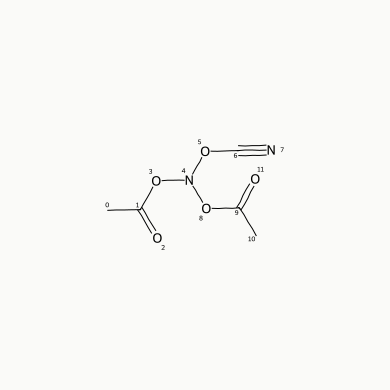 CC(=O)ON(OC#N)OC(C)=O